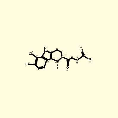 C[C@@H]1c2c([nH]c3c(Cl)c(Cl)ccc23)CCN1C(=O)CNC(=O)O